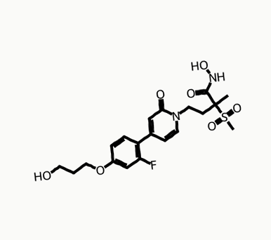 CC(CCn1ccc(-c2ccc(OCCCO)cc2F)cc1=O)(C(=O)NO)S(C)(=O)=O